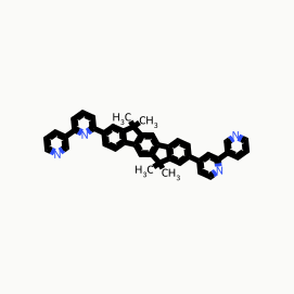 CC1(C)c2cc(-c3ccnc(-c4cccnc4)c3)ccc2-c2cc3c(cc21)-c1ccc(-c2cccc(-c4cccnc4)n2)cc1C3(C)C